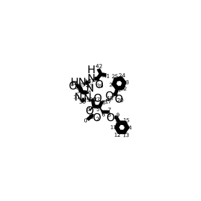 CC(=O)O[C@@H]1[C@H](CCOCc2ccccc2)[C@@H](COC(=O)c2ccccc2)O[C@H]1n1cnc2c(=O)[nH]c(NC(=O)C(C)C)nc21